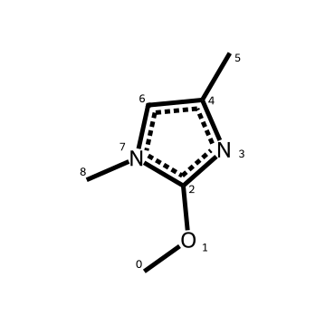 COc1nc(C)cn1C